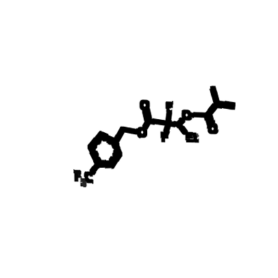 C=C(C)C(=O)OC(CC)C(F)(F)C(=O)OCc1ccc(C(F)(F)F)cc1